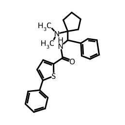 CN(C)C1(C(NC(=O)c2ccc(-c3ccccc3)s2)c2ccccc2)CCCC1